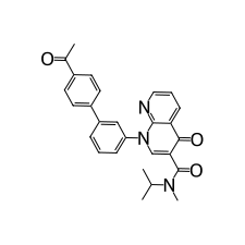 CC(=O)c1ccc(-c2cccc(-n3cc(C(=O)N(C)C(C)C)c(=O)c4cccnc43)c2)cc1